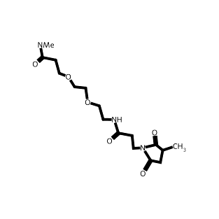 CNC(=O)CCOCCOCCNC(=O)CCN1C(=O)CC(C)C1=O